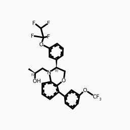 C[C@H](O)CN1c2cccc(-c3cccc(OC(F)(F)F)c3)c2OC[C@@H]1c1cccc(OC(F)(F)C(F)F)c1